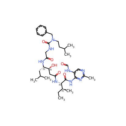 CC[C@H](C)[C@H](NC(=O)C[C@H](O)[C@H](CC(C)C)NC(=O)CNC(=O)N(CCC(C)C)Cc1ccccc1)C(=O)Nc1nc(C)ncc1NC=O